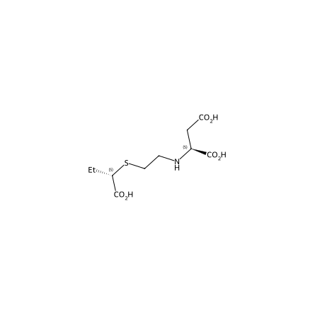 CC[C@H](SCCN[C@@H](CC(=O)O)C(=O)O)C(=O)O